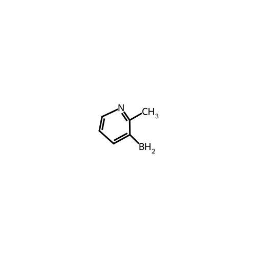 Bc1cccnc1C